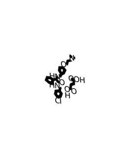 CN(C)CCCOc1ccc(CNC(C(=O)NCc2ccc(Cl)cc2)c2ccccc2)cc1.O=C(O)/C=C/C(=O)O